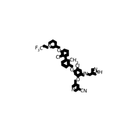 Cc1c(COc2cc(OCc3cncc(C#N)c3)c(CNCc3cn[nH]c3)cc2Cl)cccc1-c1cccc(OCC2CCCN(CCC(F)(F)F)C2)c1Cl